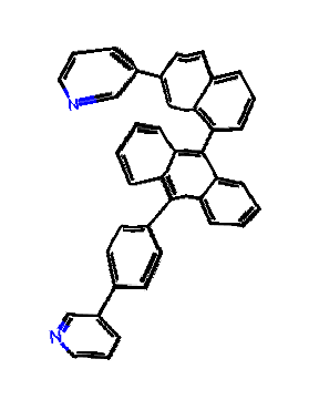 c1cncc(-c2ccc(-c3c4ccccc4c(-c4cccc5ccc(-c6cccnc6)cc45)c4ccccc34)cc2)c1